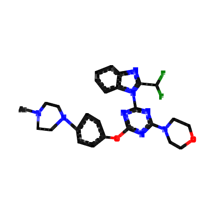 CC(=O)N1CCN(c2ccc(Oc3nc(N4CCOCC4)nc(-n4c(C(F)F)nc5ccccc54)n3)cc2)CC1